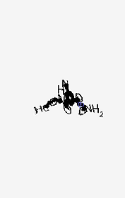 C#CCOCCNC(=O)c1cc(C#N)cc(C(=O)/C=C/C(N)=O)c1